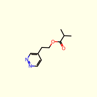 CC(C)C(=O)OCCc1ccnnc1